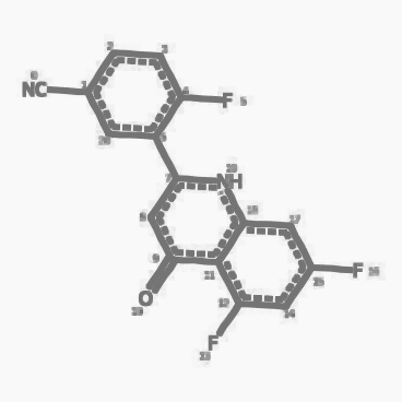 N#Cc1ccc(F)c(-c2cc(=O)c3c(F)cc(F)cc3[nH]2)c1